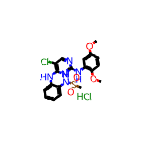 COc1ccc(OC)c(Nc2ncc(Cl)c(Nc3ccccc3NS(C)(=O)=O)n2)c1.Cl